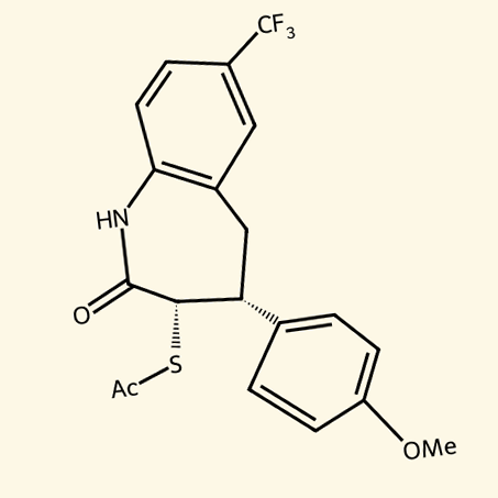 COc1ccc([C@H]2Cc3cc(C(F)(F)F)ccc3NC(=O)[C@H]2SC(C)=O)cc1